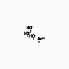 [Ac+3].[OH-].[OH-].[OH-]